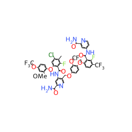 COc1cc(OC(F)(F)F)ccc1Oc1cc(Cl)c(C)c(F)c1C(=O)Nc1cc(C(N)=O)ncc1COc1ccc(Oc2ccc(C(F)(F)F)c(F)c2C(=O)Nc2ccnc(C(N)=O)c2)c(OC(F)(F)F)c1